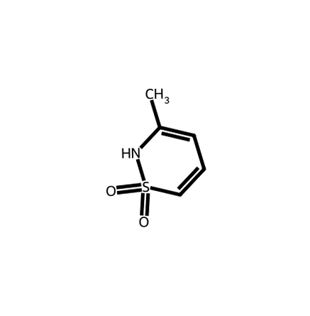 CC1=CC=CS(=O)(=O)N1